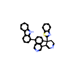 C1=NC=C(c2cccnc2)C(c2ccc(-c3cccc4c3[nH]c3ccccc34)cc2)(c2nc3ccccc3s2)C1